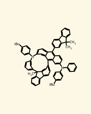 CC(C)(C)c1ccc(N(c2ccccc2)c2ccc3c(-c4ccc5c(c4)C(C)(C)c4ccccc4-5)c4ccc5cc4c(c3c2)-c2ccc3c(c2)C(C)(c2cccc(c2)N5c2ccc(C(C)(C)C)cc2)c2ccccc2-3)cc1